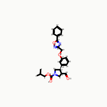 CC(C)COC(=O)N1CC(C=O)[C@H](c2cccc(OCc3noc(-c4ccccc4)n3)c2)C1